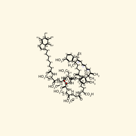 C=C(/C=C/C=C/C=C1/N(CC)c2ccc(S(=O)(=O)O)cc2C1(C)CCCC(=O)NCCCCC(NC(=O)[C@H](CC(=O)O)NC(=O)[C@H](CC(=O)O)NC(=O)[C@H](CC(=O)O)NC(=O)[C@H](CC(=O)O)NC(=O)[C@H](CC(=O)O)NC(=O)[C@@H](CC(=O)O)NC(=O)CCCCCCCn1cnc2c(I)c(I)c(I)c(I)c21)C(=O)O)C(C)(C)c1cc(S(=O)(=O)O)ccc1C